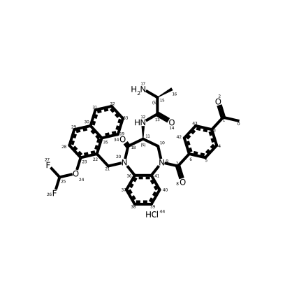 CC(=O)c1ccc(C(=O)N2C[C@H](NC(=O)[C@H](C)N)C(=O)N(Cc3c(OC(F)F)ccc4ccccc34)c3ccccc32)cc1.Cl